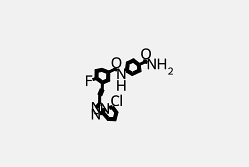 NC(=O)c1ccc(NC(=O)c2ccc(F)c(C#Cc3nnc4cccc(Cl)n34)c2)cc1